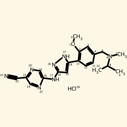 COc1cc(CN(C)C(C)C)ccc1-c1cc(Nc2cnc(C#N)cn2)n[nH]1.Cl